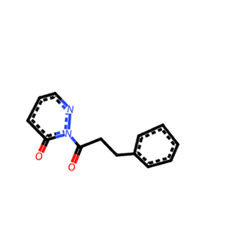 O=C(CCc1ccccc1)n1ncccc1=O